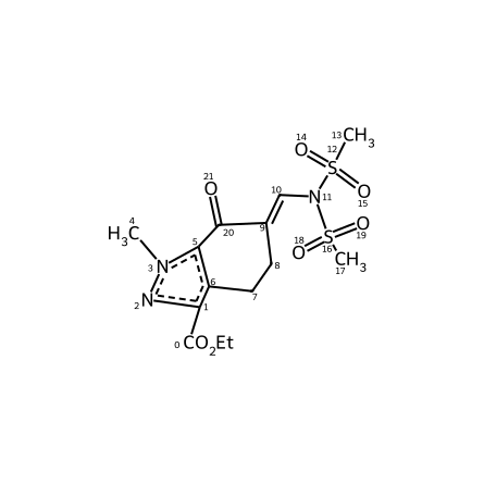 CCOC(=O)c1nn(C)c2c1CCC(=CN(S(C)(=O)=O)S(C)(=O)=O)C2=O